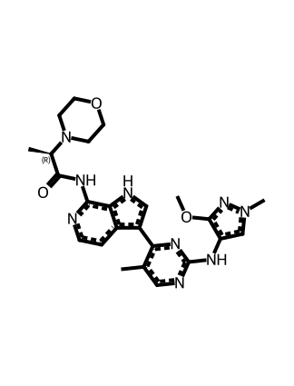 COc1nn(C)cc1Nc1ncc(C)c(-c2c[nH]c3c(NC(=O)[C@@H](C)N4CCOCC4)nccc23)n1